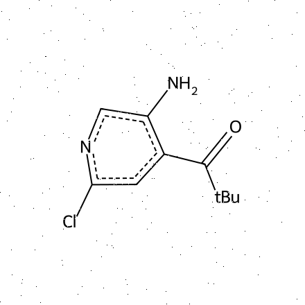 CC(C)(C)C(=O)c1cc(Cl)ncc1N